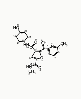 C=C(c1cccc(C)n1)c1oc(C(=O)NC)cc1C(=O)N[C@H]1CC[C@H](O)CC1